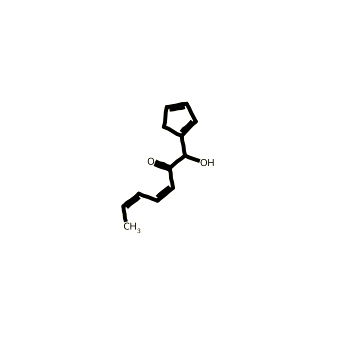 C/C=C\C=C/C(=O)C(O)C1=CC=CC1